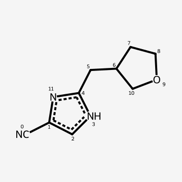 N#Cc1c[nH]c(CC2CCOC2)n1